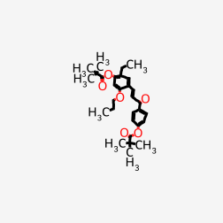 CCCOc1cc(OC(=O)C(C)(C)C)c(CC)cc1C=CC(=O)c1ccc(OC(=O)C(C)(C)C)cc1